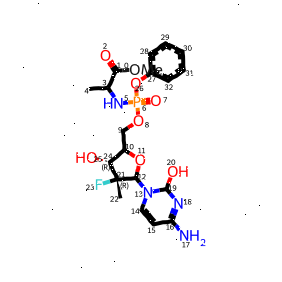 COC(=O)C(C)NP(=O)(OCC1OC(N2C=CC(N)=NC2O)[C@](C)(F)[C@@H]1O)Oc1ccccc1